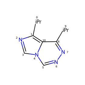 CC(C)c1ncn2cnnc(C(C)C)c12